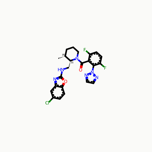 C[C@@H]1CCCN(C(=O)c2c(F)ccc(F)c2-n2nccn2)[C@@H]1CNc1nc2cc(Cl)ccc2o1